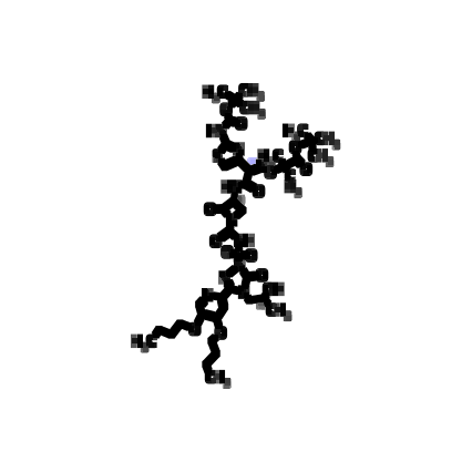 CCCCOc1cnc(-c2nn(S(=O)(=O)NC(=O)N3C[C@H](NC(=O)/C(=N\OC(C)(C)C(=O)OC(C)(C)C)c4csc(NC(=O)OC(C)(C)C)n4)C3=O)c(=O)n2C[C@H](C)O)cc1OCCCC